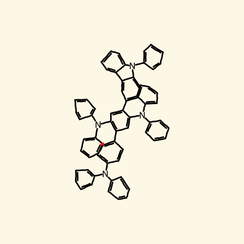 c1ccc(N(c2ccccc2)c2ccc(-c3cc(N(c4ccccc4)c4ccccc4)c(-c4ccc5c(c4)c4ccccc4n5-c4ccccc4)cc3N(c3ccccc3)c3ccccc3)cc2)cc1